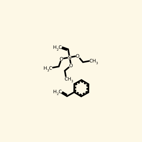 C=C[Si](OCC)(OCC)OCC.C=Cc1ccccc1